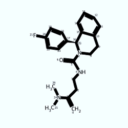 C=C(CCNC(=O)N1CCc2ccccc2[C@@H]1c1ccc(F)cc1)N(C)C